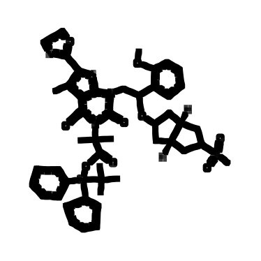 COc1ccccc1C(Cn1c(=O)n(C(C)(C)C(=O)O[Si](c2ccccc2)(c2ccccc2)C(C)(C)C)c(=O)c2c(C)c(-c3ncco3)sc21)OC1C[C@@H]2CC(S(C)(=O)=O)C[C@@H]2C1